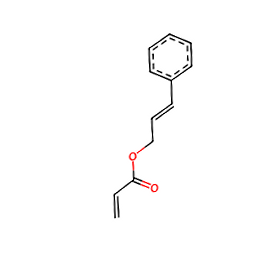 C=CC(=O)OCC=Cc1ccccc1